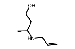 C=CCN[C@@H](C)CCO